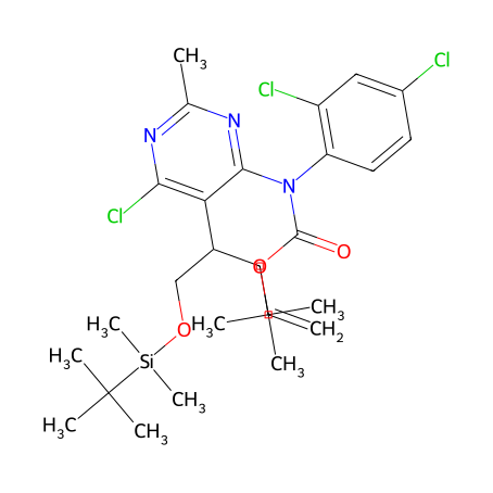 C=CCC(CO[Si](C)(C)C(C)(C)C)c1c(Cl)nc(C)nc1N(C(=O)OC(C)(C)C)c1ccc(Cl)cc1Cl